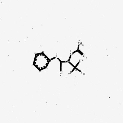 CC(=O)OC(C(Cl)Sc1ccccc1)C(F)(F)F